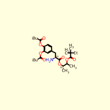 CCC(C)C(=O)Oc1ccc(C[C@H](N)C(=O)O[C@@H](C)C(C)OC(=O)C(C)(C)CC)cc1OC(=O)C(C)CC